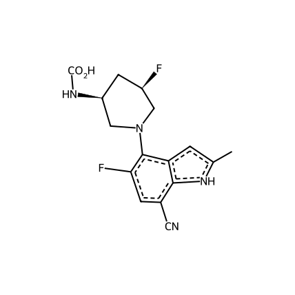 Cc1cc2c(N3C[C@H](F)C[C@H](NC(=O)O)C3)c(F)cc(C#N)c2[nH]1